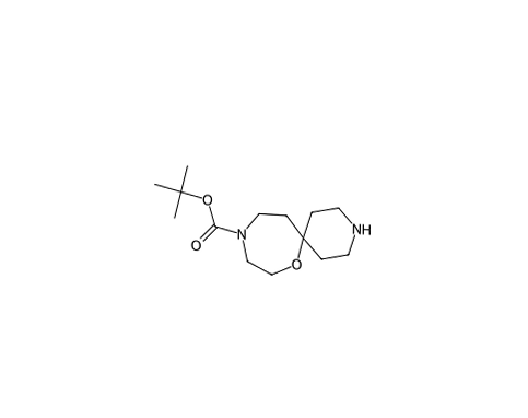 CC(C)(C)OC(=O)N1CCOC2(CCNCC2)CC1